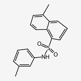 Cc1cccc(NS(=O)(=O)c2cccc3c(C)cccc23)c1